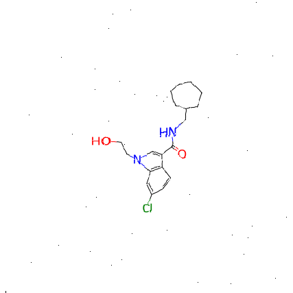 O=C(NCC1CCCCCC1)c1cn(CCO)c2cc(Cl)ccc12